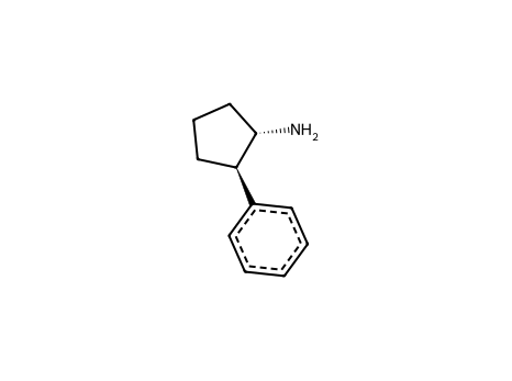 N[C@H]1CCC[C@@H]1c1ccccc1